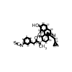 CN(C(=O)Cc1cccc(N=C=S)c1)[C@H]1CC[C@@]2(O)[C@H]3Cc4ccc(O)c5c4[C@@]2(CCN3CC2CC2)[C@H]1O5